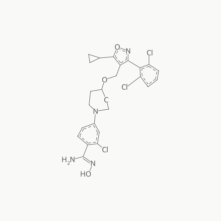 N/C(=N\O)c1ccc(N2CCC(OCc3c(-c4c(Cl)cccc4Cl)noc3C3CC3)CC2)cc1Cl